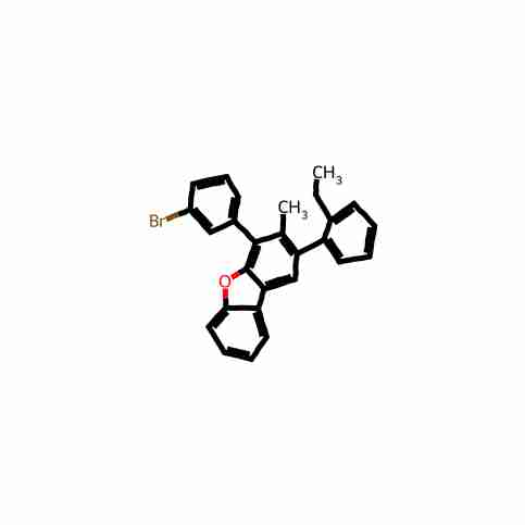 CCc1ccccc1-c1cc2c(oc3ccccc32)c(-c2cccc(Br)c2)c1C